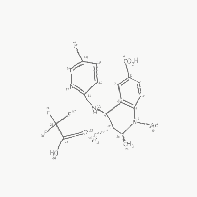 CC(=O)N1c2ccc(C(=O)O)cc2[C@H](Nc2ccc(F)cn2)[C@@H](C)[C@@H]1C.O=C(O)C(F)(F)F